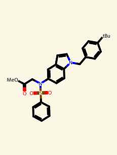 COC(=O)CN(c1ccc2c(ccn2Cc2ccc(C(C)(C)C)cc2)c1)S(=O)(=O)c1ccccc1